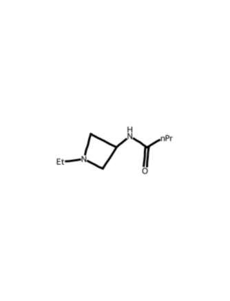 CCCC(=O)NC1CN(CC)C1